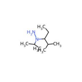 CCC(C(C)C)N(N)C(C)C